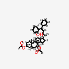 CC(=O)O[C@@H]1CC[C@@]2(C)[C@@H](C1)C[C@@H](OC(C)=O)[C@@H]1[C@@H]2C[C@H](O)[C@]2(C)[C@@H](C(C)CC=C(c3ccccc3)c3ccccc3)CC[C@@H]12